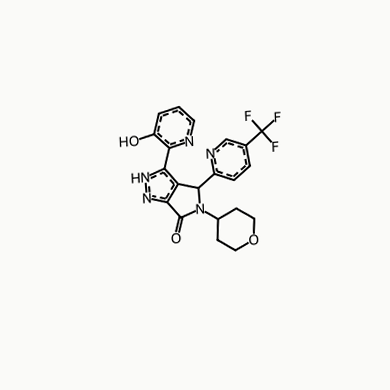 O=C1c2n[nH]c(-c3ncccc3O)c2C(c2ccc(C(F)(F)F)cn2)N1C1CCOCC1